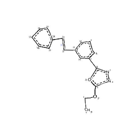 CCOc1nnc(-c2cccc(/C=C/c3ccccc3)c2)o1